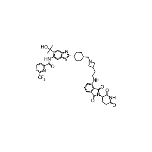 CC(C)(O)c1cc2nc([C@H]3CC[C@H](CN4CC(CCNc5cccc6c5C(=O)N(C5CCC(=O)NC5=O)C6=O)C4)CC3)sc2cc1NC(=O)c1cccc(C(F)(F)F)n1